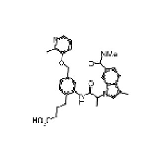 CNC(=O)c1ccc2c(C)cn(C(C)C(=O)Nc3cc(COc4cccnc4C)ccc3CCCC(=O)O)c2c1